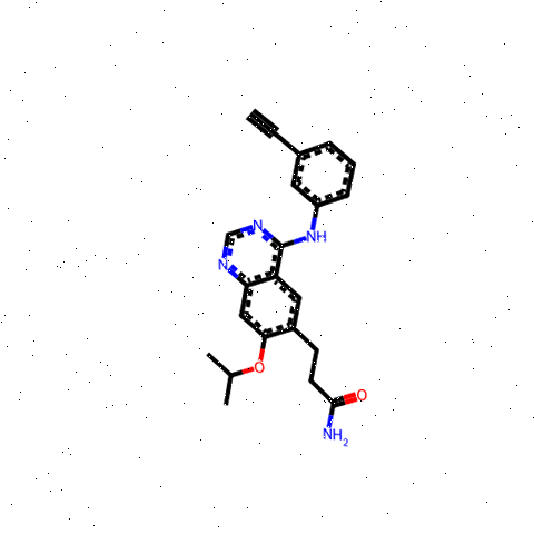 C#Cc1cccc(Nc2ncnc3cc(OC(C)C)c(CCC(N)=O)cc23)c1